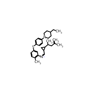 C=C(C)CC(C)C1CC1/C=N\c1cc(Sc2ccc(N3CCC(CC)CC3)cc2)ccc1C